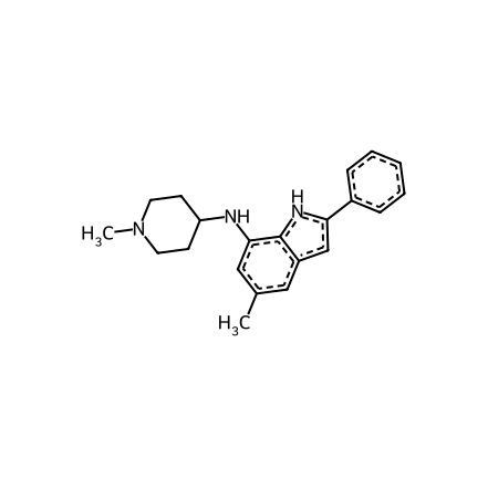 Cc1cc(NC2CCN(C)CC2)c2[nH]c(-c3ccccc3)cc2c1